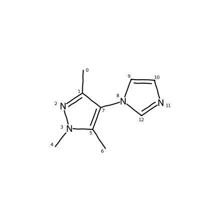 Cc1nn(C)c(C)c1-n1ccnc1